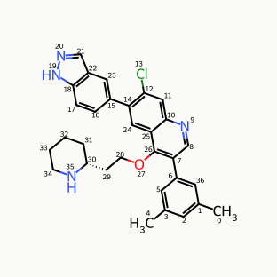 Cc1cc(C)cc(-c2cnc3cc(Cl)c(-c4ccc5[nH]ncc5c4)cc3c2OCC[C@H]2CCCCN2)c1